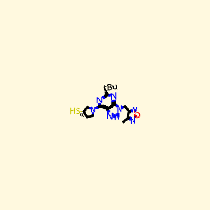 Cc1nonc1Cn1nnc2c(N3CC[C@H](S)C3)nc(C(C)(C)C)nc21